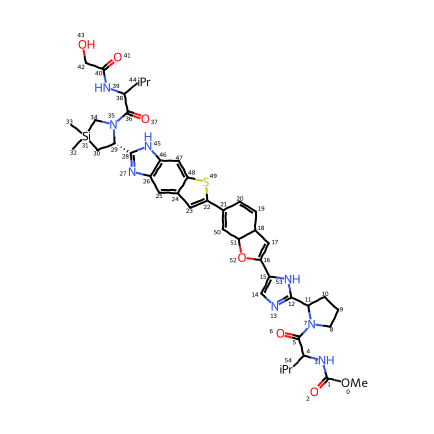 COC(=O)NC(C(=O)N1CCCC1c1ncc(C2=CC3C=CC(c4cc5cc6nc([C@@H]7C[Si](C)(C)CN7C(=O)C(NC(=O)CO)C(C)C)[nH]c6cc5s4)=CC3O2)[nH]1)C(C)C